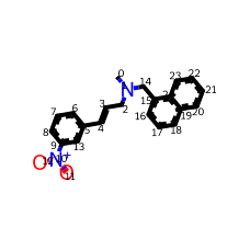 CN(C/C=C/c1cccc([N+](=O)[O-])c1)Cc1cccc2ccccc12